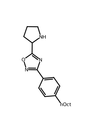 CCCCCCCCc1ccc(-c2noc(C3CCCN3)n2)cc1